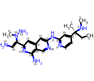 CC[C@](C)(NC)c1ccnc(Nc2cc3cc(/C(=C/N)N(C)N)nc(N)c3cn2)c1